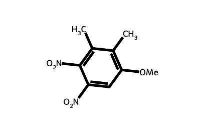 COc1cc([N+](=O)[O-])c([N+](=O)[O-])c(C)c1C